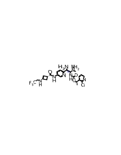 C[C@@H](OC(=O)N/C(=C(/N)c1ccc(NC(=O)[C@H]2C[C@@H](NCC(F)(F)F)C2)cn1)N(C)N)c1cccnc1Cl